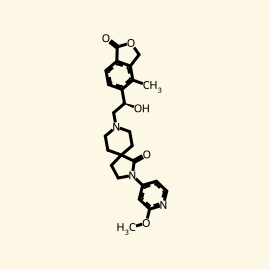 COc1cc(N2CCC3(CCN(C[C@H](O)c4ccc5c(c4C)COC5=O)CC3)C2=O)ccn1